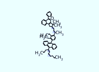 C=CC/C=C\C=C(/CC=C)c1c2ccccc2c(-c2ccc(/C(C)=C/C=C3\Cc4c(c5oc6ccccc6c5c5ccccc45)C3(C)C)c(C=C)c2C=C)c2ccccc12